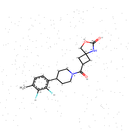 Cc1ccc(C2CCN(C(=O)C3CC4(COC(=O)N4)C3)CC2)c(F)c1F